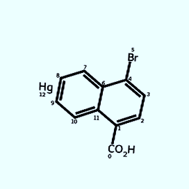 O=C(O)c1ccc(Br)c2ccccc12.[Hg]